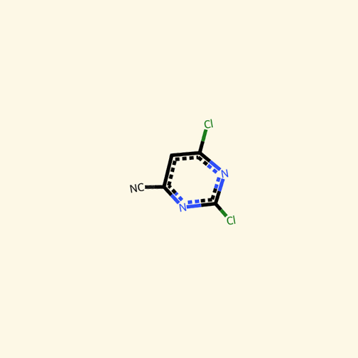 N#Cc1cc(Cl)nc(Cl)n1